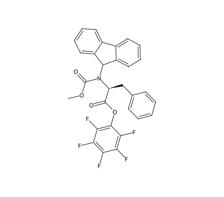 COC(=O)N(C1c2ccccc2-c2ccccc21)[C@@H](Cc1ccccc1)C(=O)Oc1c(F)c(F)c(F)c(F)c1F